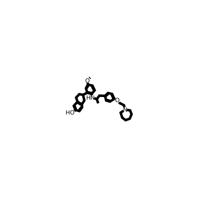 COc1ccc(NC(C)Cc2ccc(OCCN3CCCCCC3)cc2)c(C2CCc3cc(O)ccc3C2)c1